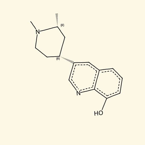 C[C@@H]1C[C@H](c2cnc3c(O)cccc3c2)CCN1C